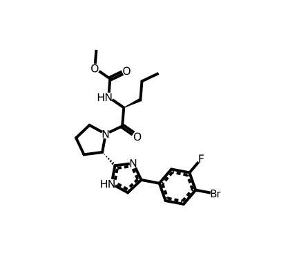 CCC[C@H](NC(=O)OC)C(=O)N1CCC[C@H]1c1nc(-c2ccc(Br)c(F)c2)c[nH]1